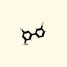 CC(C)(C)c1cc(F)cc(-c2cccc(F)c2)c1